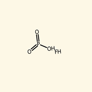 F.O=P(=O)O